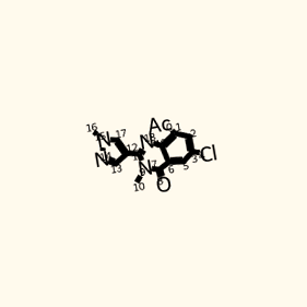 CC(=O)c1cc(Cl)cc2c(=O)n(C)c(-c3cnn(C)c3)nc12